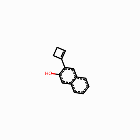 Oc1cc2ccccc2cc1C1=CCC1